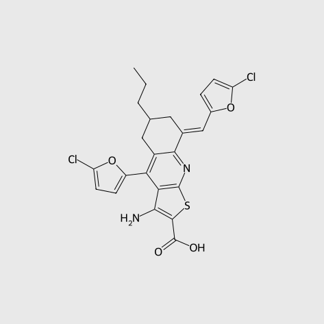 CCCC1CC(=Cc2ccc(Cl)o2)c2nc3sc(C(=O)O)c(N)c3c(-c3ccc(Cl)o3)c2C1